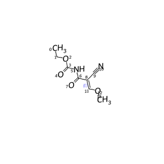 CCOC(=O)NC(=O)/C(C#N)=C/OC